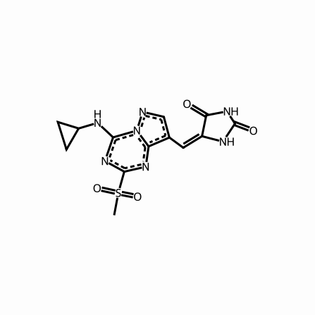 CS(=O)(=O)c1nc(NC2CC2)n2ncc(/C=C3/NC(=O)NC3=O)c2n1